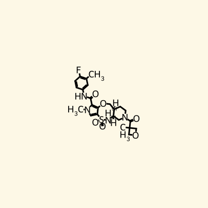 Cc1cc(NC(=O)c2c3c(cn2C)S(=O)(=O)N[C@H]2CN(C(=O)C4(C)COC4)CC[C@@H]2CO3)ccc1F